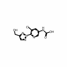 O=C(O)Nc1cnc(-n2ncc(CO)n2)c(Cl)c1